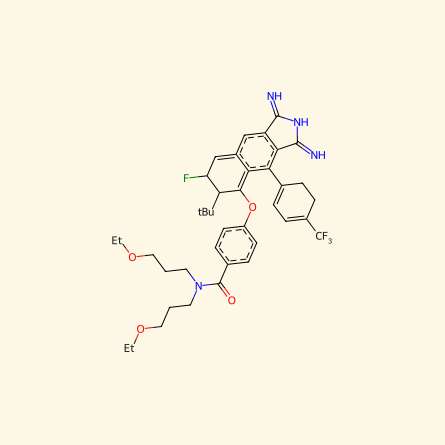 CCOCCCN(CCCOCC)C(=O)c1ccc(OC2=c3c(C4=CC=C(C(F)(F)F)CC4)c4c(cc3=CC(F)C2C(C)(C)C)C(=N)NC4=N)cc1